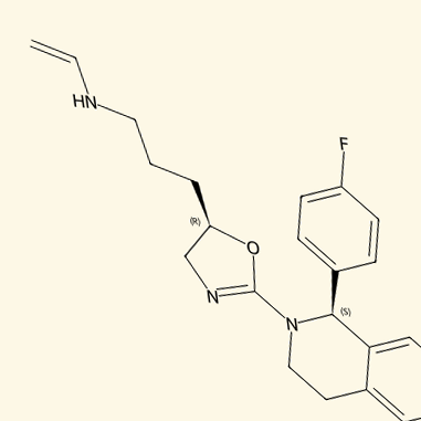 C=CNCCC[C@@H]1CN=C(N2CCc3ccccc3[C@@H]2c2ccc(F)cc2)O1